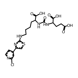 O=C(O)CCC(NC(=O)NC(CCCCNc1nc(-c2ccnc(Cl)c2)cs1)C(=O)O)C(=O)O